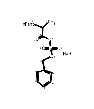 CCCCCC(C)C(=O)OS(=O)(=O)OCc1ccccc1.[NaH]